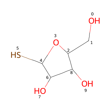 OCC1OC(S)C(O)C1O